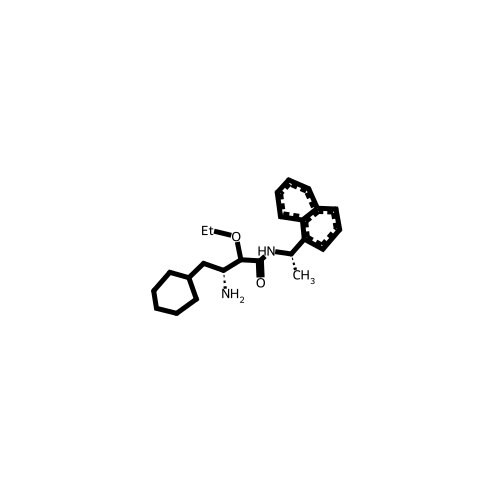 CCOC(C(=O)N[C@@H](C)c1cccc2ccccc12)[C@H](N)CC1CCCCC1